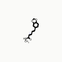 CNC(=O)/C=C/C=Cc1ccc2c(c1)OCO2